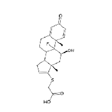 C[C@]12C=CC(=O)C=C1CCC1C3CC=C(SCC(=O)O)[C@@]3(C)C[C@H](O)C12F